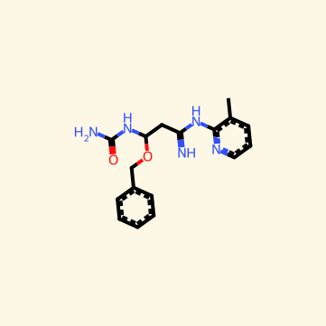 Cc1cccnc1NC(=N)CC(NC(N)=O)OCc1ccccc1